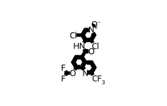 O=C(Nc1c(Cl)c[n+]([O-])cc1Cl)c1ccc(OC(F)F)c2nc(C(F)(F)F)ccc12